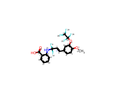 COc1ccc(/C=C/C(F)(F)Nc2ccccc2C(=O)O)cc1OC(F)(F)C(F)F